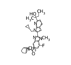 CCC(C)(O)c1ccc2cc(-c3nc4cc(C(=O)N5CC6CCC5C6C)cc(F)c4n3C)n(CC3CC3)c2n1